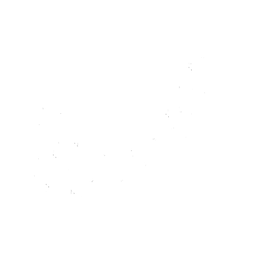 Nc1nccn2c(C3CCC3)nc(-c3cccc(OCc4cccc(NC(=O)Oc5ccccn5)c4)c3)c12